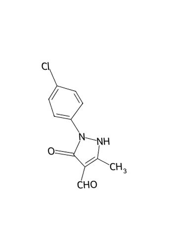 Cc1[nH]n(-c2ccc(Cl)cc2)c(=O)c1C=O